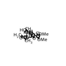 C=CC(=O)N1CC(C)N(CCCn2c(=O)c(-c3cc(OC)cc(OC)c3Cl)cc3cnc(NCC(C)(C)O)nc32)C(C)C1